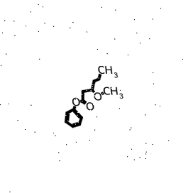 CCCC(CC(=O)Oc1ccccc1)OC